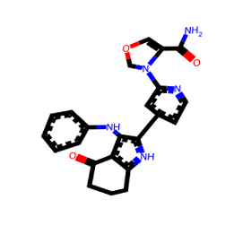 NC(=O)C1=COCN1c1cc(-c2[nH]c3c(c2Nc2ccccc2)C(=O)CCC3)ccn1